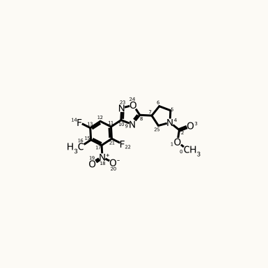 COC(=O)N1CCC(c2nc(-c3cc(F)c(C)c([N+](=O)[O-])c3F)no2)C1